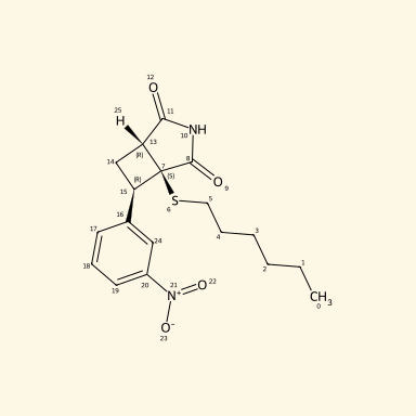 CCCCCCS[C@]12C(=O)NC(=O)[C@H]1C[C@@H]2c1cccc([N+](=O)[O-])c1